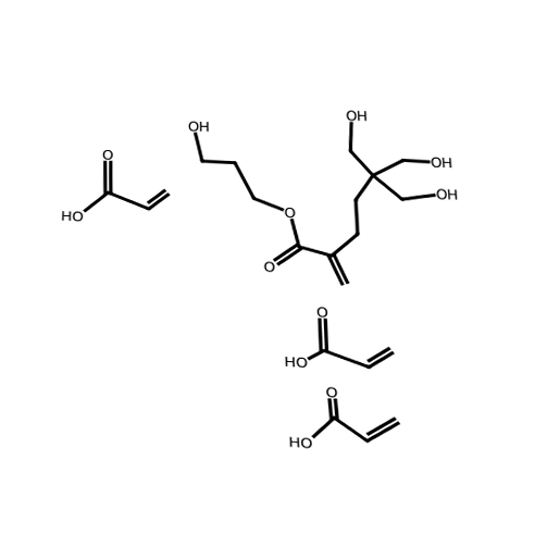 C=C(CCC(CO)(CO)CO)C(=O)OCCCO.C=CC(=O)O.C=CC(=O)O.C=CC(=O)O